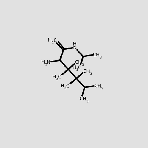 C=C(NC(C)C)C(N)C(C)(C)C(C)(C)C(C)C